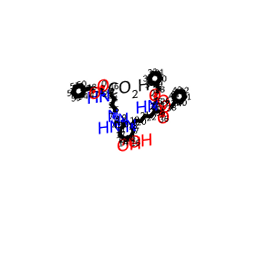 O=C(NC(CCC/N=C1\N=C2C(C[C@H](O)[C@H](O)CN2CCCCC(NC(=O)OCc2ccccc2)C(=O)OCc2ccccc2)N1)C(=O)O)OCc1ccccc1